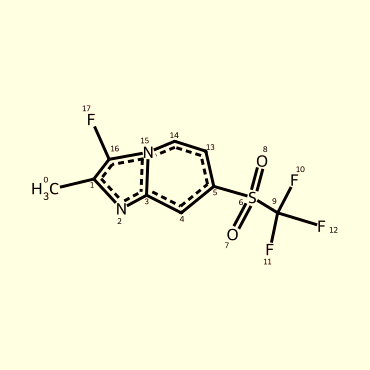 Cc1nc2cc(S(=O)(=O)C(F)(F)F)ccn2c1F